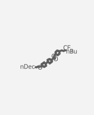 CCCCCCCCCCCCOc1ccc(-c2ccc(C(=O)Oc3ccc(CCC(CCCC)C(F)(F)F)cc3)cc2)cc1